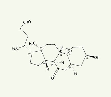 CC(CCC=O)[C@H]1CC[C@H]2[C@@H]3C(=O)C[C@@H]4C[C@H](O)CC[C@]4(C)[C@H]3CC[C@]12C